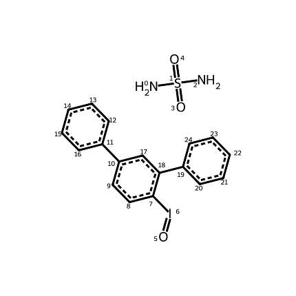 NS(N)(=O)=O.O=Ic1ccc(-c2ccccc2)cc1-c1ccccc1